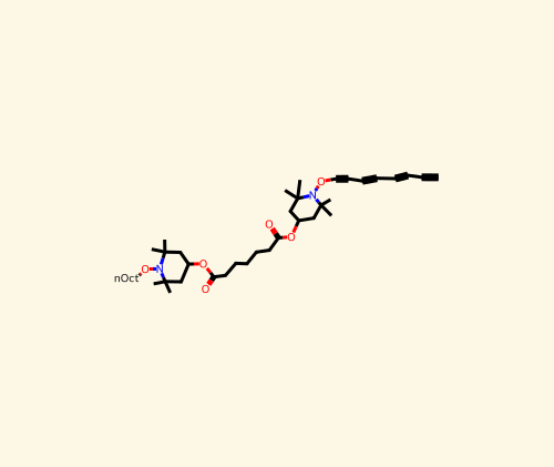 C#CC#CC#CC#CON1C(C)(C)CC(OC(=O)CCCCCC(=O)OC2CC(C)(C)N(OCCCCCCCC)C(C)(C)C2)CC1(C)C